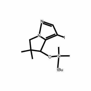 CC1(C)Cn2ncc(I)c2C1O[Si](C)(C)C(C)(C)C